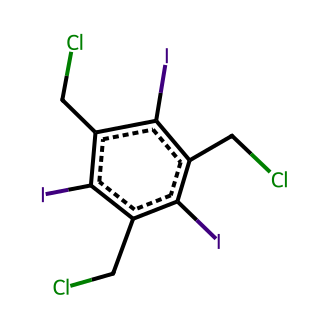 ClCc1c(I)c(CCl)c(I)c(CCl)c1I